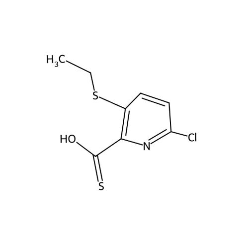 CCSc1ccc(Cl)nc1C(O)=S